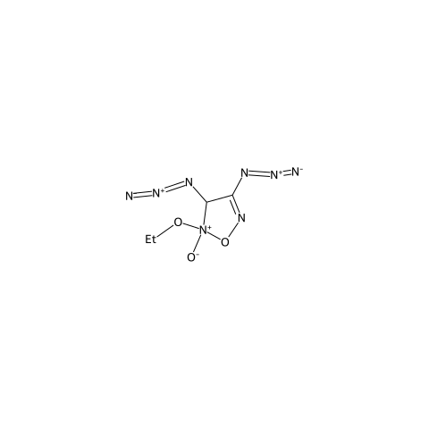 CCO[N+]1([O-])ON=C(N=[N+]=[N-])C1N=[N+]=[N-]